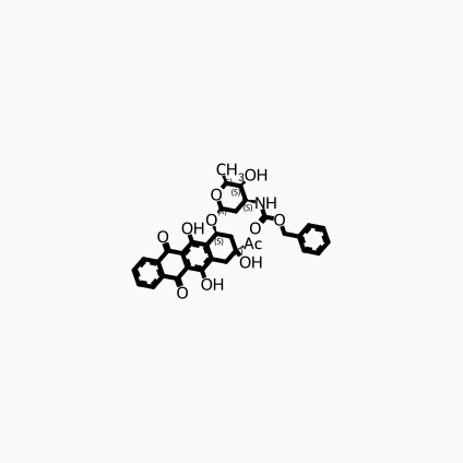 CC(=O)[C@]1(O)Cc2c(O)c3c(c(O)c2[C@@H](O[C@H]2C[C@H](NC(=O)OCc4ccccc4)[C@H](O)[C@H](C)O2)C1)C(=O)c1ccccc1C3=O